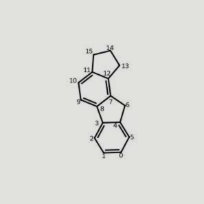 c1ccc2c(c1)Cc1c-2ccc2c1CCC2